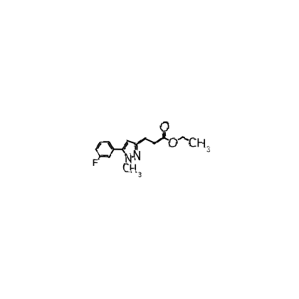 CCOC(=O)CCc1cc(-c2cccc(F)c2)n(C)n1